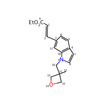 CCOC(=O)/C=C/c1ccc2ccn(CC3(C)COC3)c2c1